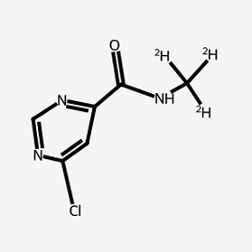 [2H]C([2H])([2H])NC(=O)c1cc(Cl)ncn1